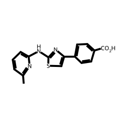 Cc1cccc(Nc2nc(-c3ccc(C(=O)O)cc3)cs2)n1